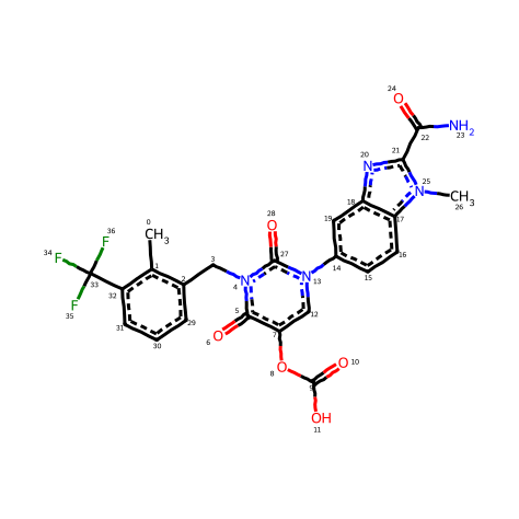 Cc1c(Cn2c(=O)c(OC(=O)O)cn(-c3ccc4c(c3)nc(C(N)=O)n4C)c2=O)cccc1C(F)(F)F